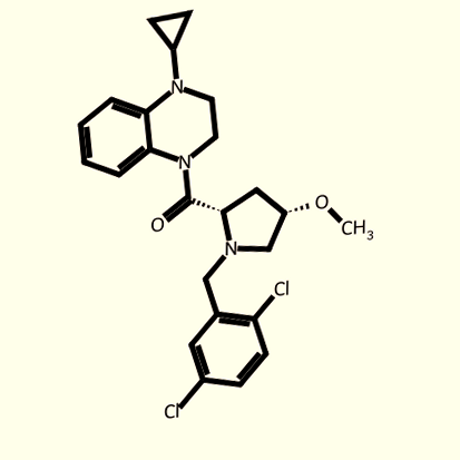 CO[C@H]1C[C@@H](C(=O)N2CCN(C3CC3)c3ccccc32)N(Cc2cc(Cl)ccc2Cl)C1